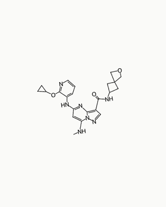 CNc1cc(Nc2cccnc2OC2CC2)nc2c(C(=O)NC3CC4(COC4)C3)cnn12